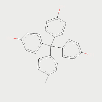 O=Cc1ccc(C(c2ccc(O)cc2)(c2ccc(O)cc2)c2ccc(O)cc2)cc1